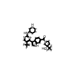 O=C(c1ccc2c(-c3nc(NC4CCCNC4)ncc3C(F)(F)F)c[nH]c2c1)N1CC[C@](O)(C(F)(F)F)C1